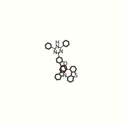 c1ccc(C2=NC(c3ccc4c(c3)oc3c(-c5cccc6sc7cccc(-n8c9ccccc9c9ccccc98)c7c56)cccc34)=NC(c3ccccc3)N2)cc1